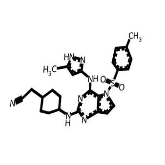 Cc1ccc(S(=O)(=O)n2ccc3nc(NC4CCC(CC#N)CC4)nc(Nc4cc(C)[nH]n4)c32)cc1